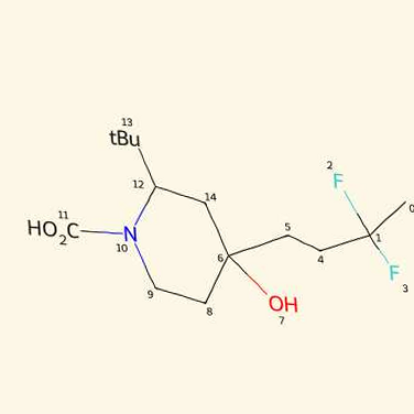 CC(F)(F)CCC1(O)CCN(C(=O)O)C(C(C)(C)C)C1